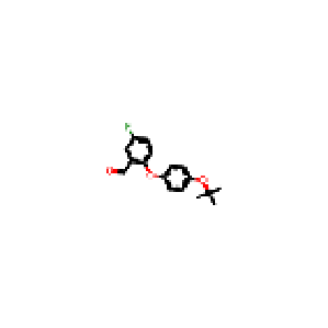 CC(C)(C)Oc1ccc(Oc2ccc(F)cc2C=O)cc1